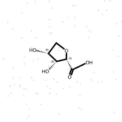 O=C(O)[C@H]1OC[C@@H](O)[C@H]1O